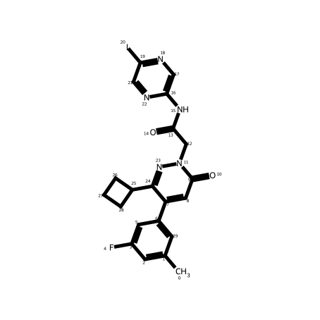 Cc1cc(F)cc(-c2cc(=O)n(CC(=O)Nc3cnc(I)cn3)nc2C2CCC2)c1